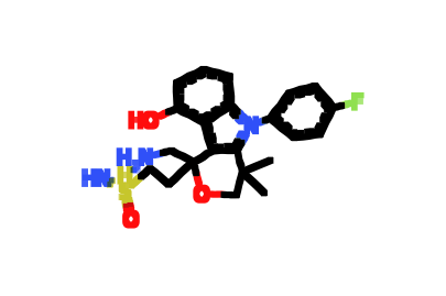 CC1(C)COC(CN)(CC[SH](=N)=O)c2c1n(-c1ccc(F)cc1)c1cccc(O)c21